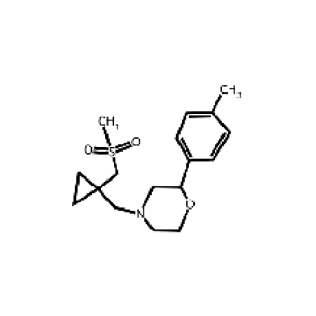 Cc1ccc(C2CN(CC3(CS(C)(=O)=O)CC3)CCO2)cc1